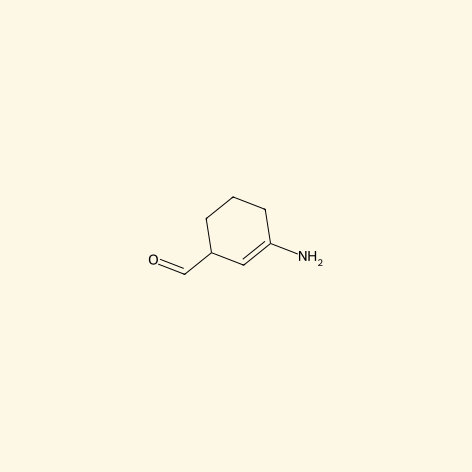 NC1=CC(C=O)CCC1